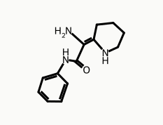 N/C(C(=O)Nc1ccccc1)=C1\CCCCN1